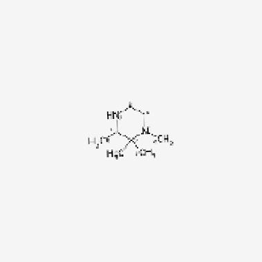 CC1NCCN(C)C1(C)C